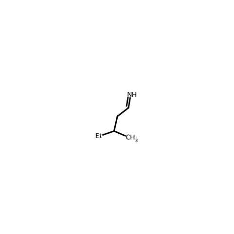 [CH2]CC(C)CC=N